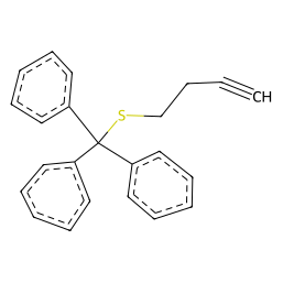 C#CCCSC(c1ccccc1)(c1ccccc1)c1ccccc1